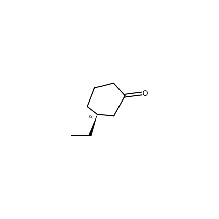 CC[C@H]1CCCC(=O)C1